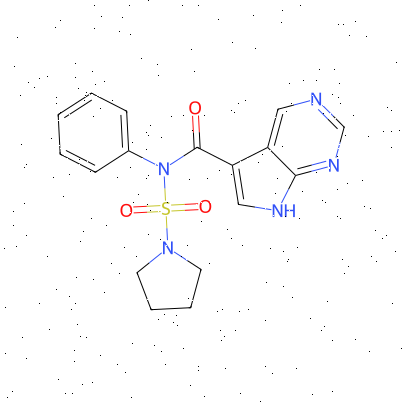 O=C(c1c[nH]c2ncncc12)N(c1ccccc1)S(=O)(=O)N1CCCC1